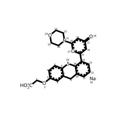 O=C(O)COc1ccc2c(c1)Cc1cccc(-c3cc(=O)cc(N4CCOCC4)o3)c1S2.[Na]